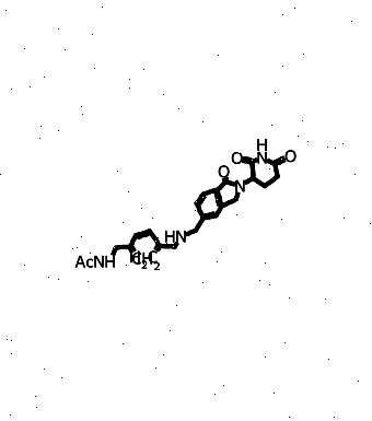 C=C(/C=C\C(=C)CNC(C)=O)CNCc1ccc2c(c1)CN(C1CCC(=O)NC1=O)C2=O